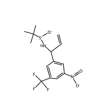 C=CC(N[S+]([O-])C(C)(C)C)c1cc([N+](=O)[O-])cc(C(F)(F)F)c1